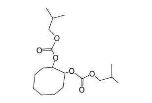 CC(C)COC(=O)OC1CCCCCCC1OC(=O)OCC(C)C